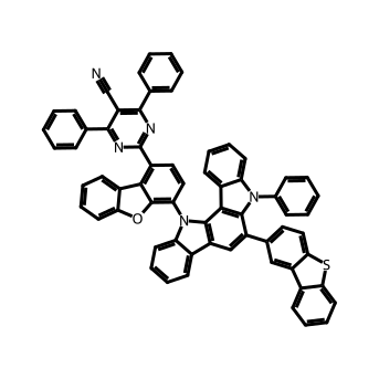 N#Cc1c(-c2ccccc2)nc(-c2ccc(-n3c4ccccc4c4cc(-c5ccc6sc7ccccc7c6c5)c5c(c6ccccc6n5-c5ccccc5)c43)c3oc4ccccc4c23)nc1-c1ccccc1